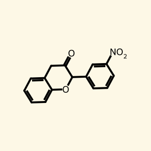 O=C1Cc2ccccc2OC1c1cccc([N+](=O)[O-])c1